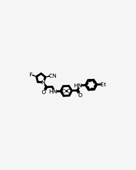 CCc1ccc(NC(=O)C23CCC(NCC(=O)N4C[C@@H](F)C[C@H]4C#N)(CC2)CC3)cc1